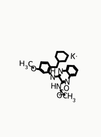 COc1ccc(CC2CCCCC2)c(Nc2nc3ccccc3nc2NS(C)(=O)=O)c1.[K]